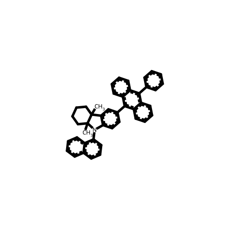 CC12CCCCC1(C)N(c1cccc3ccccc13)c1ccc(-c3c4ccccc4c(-c4ccccc4)c4ccccc34)cc12